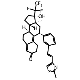 Cc1nc(C=Cc2cccc([C@H]3C[C@@]4(C)[C@@H](CC[C@@]4(O)C(F)(F)C(F)(F)F)[C@@H]4CCC5=CC(=O)CCC5=C43)c2)cs1